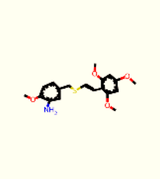 COc1cc(OC)c(C=CSCc2ccc(OC)c(N)c2)c(OC)c1